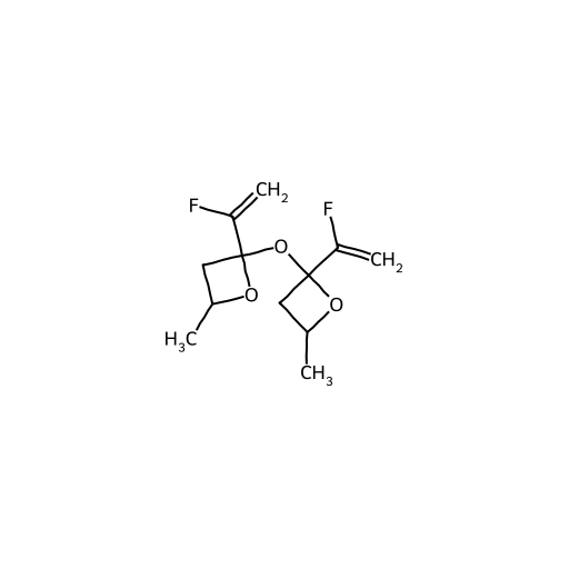 C=C(F)C1(OC2(C(=C)F)CC(C)O2)CC(C)O1